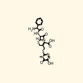 Cn1c(SCC2=C(C(=O)O)N3C(=O)[C@H](NC(=O)C(N)c4ccccc4)[C@@H]3SC2)nnc(O)c1=O